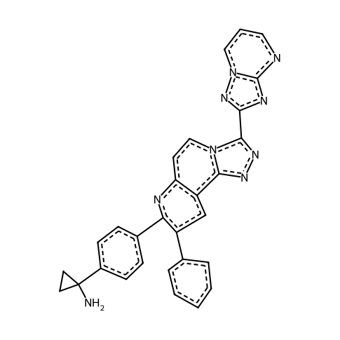 NC1(c2ccc(-c3nc4ccn5c(-c6nc7ncccn7n6)nnc5c4cc3-c3ccccc3)cc2)CC1